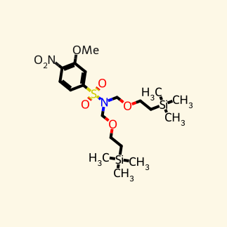 COc1cc(S(=O)(=O)N(COCC[Si](C)(C)C)COCC[Si](C)(C)C)ccc1[N+](=O)[O-]